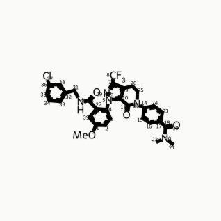 COc1ccc(-n2nc(C(F)(F)F)c3c2C(=O)N(c2ccc(C(=O)N(C)C)cc2)CC3)c(C(=O)NCc2cccc(Cl)c2)c1